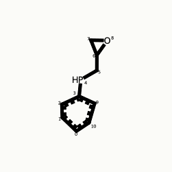 c1ccc(PCC2CO2)cc1